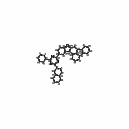 c1ccc(-c2nc(-c3ccc4ccccc4c3)nc(-c3ccc4oc5cc6c7c(cccc7c5c4c3)-c3ccccc3-6)n2)cc1